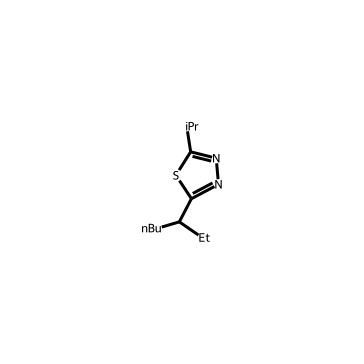 CCCCC(CC)c1nnc(C(C)C)s1